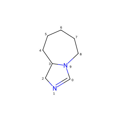 C1=NCC2CCCCCN12